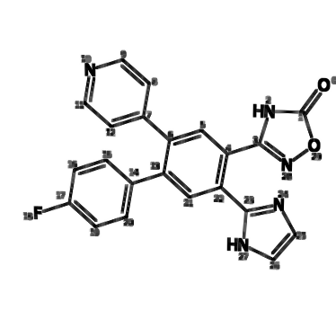 O=c1[nH]c(-c2cc(-c3ccncc3)c(-c3ccc(F)cc3)cc2-c2ncc[nH]2)no1